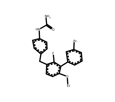 CCOc1ccc(Cc2ccc(NC(N)=O)cc2)c(F)c1-c1cccc(C(C)=O)c1